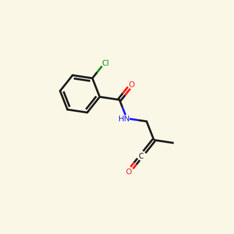 CC(=C=O)CNC(=O)c1ccccc1Cl